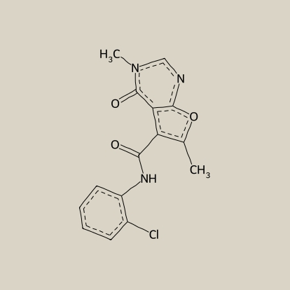 Cc1oc2ncn(C)c(=O)c2c1C(=O)Nc1ccccc1Cl